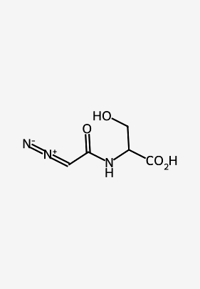 [N-]=[N+]=CC(=O)NC(CO)C(=O)O